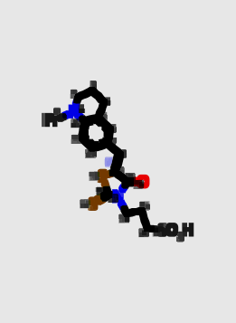 CC(C)N1CCCc2cc(/C=C3\SC(=S)N(CCCS(=O)(=O)O)C3=O)ccc21